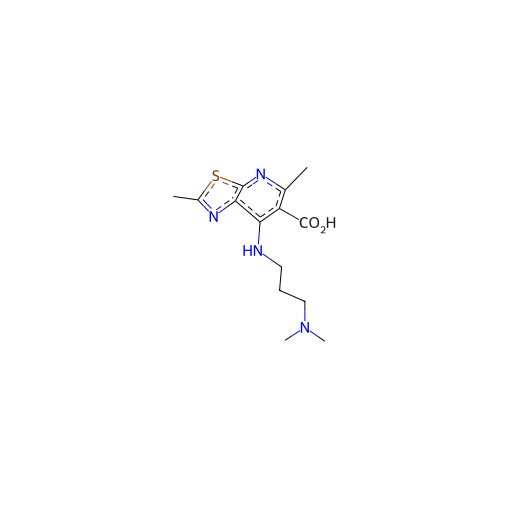 Cc1nc2c(NCCCN(C)C)c(C(=O)O)c(C)nc2s1